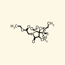 CCOC(=O)CN1C(=O)C(C)C(C)(P(=S)(S)SCC)S1(=O)=O